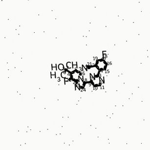 CC(C)(O)c1ccn2c(-c3ccnc(-c4ccc(F)cc4C#N)n3)cnc2c1F